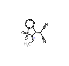 C/C=C1/C(=C(C#N)C#N)c2ccccc2S1(=O)=O